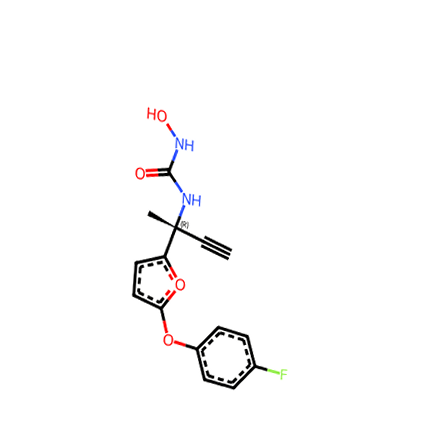 C#C[C@@](C)(NC(=O)NO)c1ccc(Oc2ccc(F)cc2)o1